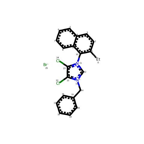 CCc1ccc2ccccc2c1-n1c[n+](Cc2ccccc2)c(Cl)c1Cl.[Br-]